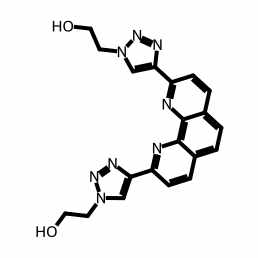 OCCn1cc(-c2ccc3ccc4ccc(-c5cn(CCO)nn5)nc4c3n2)nn1